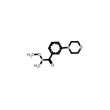 CON(C)C(=O)c1cccc(N2CCOCC2)c1